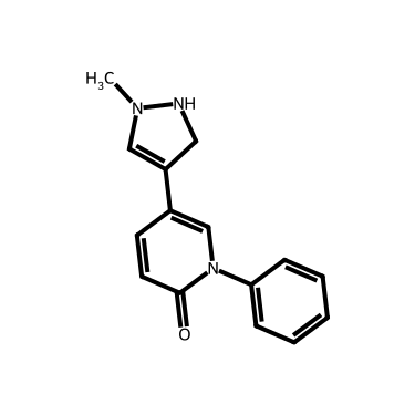 CN1C=C(c2ccc(=O)n(-c3ccccc3)c2)CN1